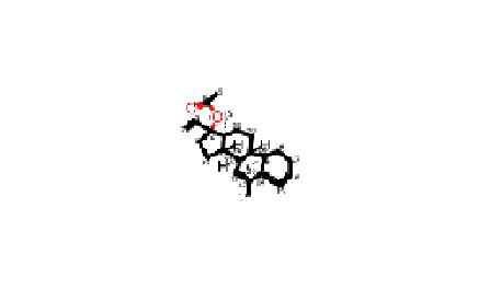 C=C[C@@]1(OC(C)=O)CC[C@H]2[C@@H]3C=C(C)C4=C=CCC[C@]4(C)[C@H]3CC[C@@]21C